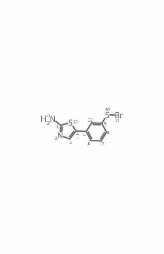 Nc1ncc(-c2cccc(SBr)c2)s1